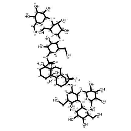 C=C1C[C@@]23CC[C@@H]4C(C)(C(=O)OC5OC(CO)C(OC6OC(CO)C(OC7OC(CO)C(O)C(O)C7O)C(O)C6O)C(O)C5O)CCC[C@@]4(C)[C@@H]2CC[C@]1(OC1OC(CO)C(O)C(OC2OC(CO)C(O)C(O)C2O)C1OC1OC(CO)C(O)C(O)C1O)C3